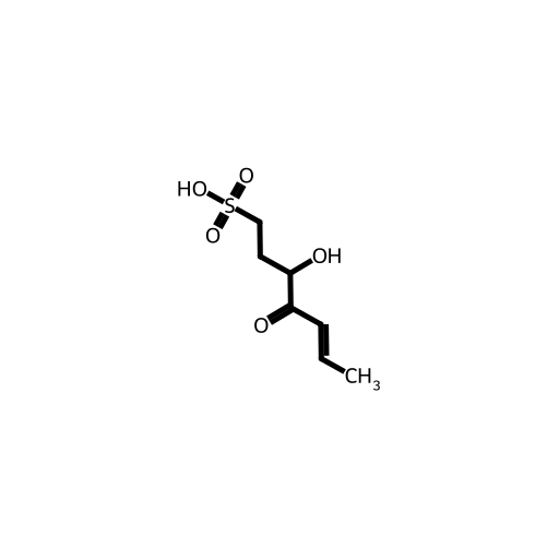 CC=CC(=O)C(O)CCS(=O)(=O)O